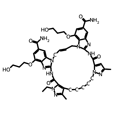 CCn1nc(C)c2c1C(=O)Nc1nc3c(OCCCO)cc(C(N)=O)cc3n1C/C=C/Cn1c(nc3cc(C(N)=O)cc(OCCCO)c31)NC(=O)c1cc(C)nn1CCCCC2